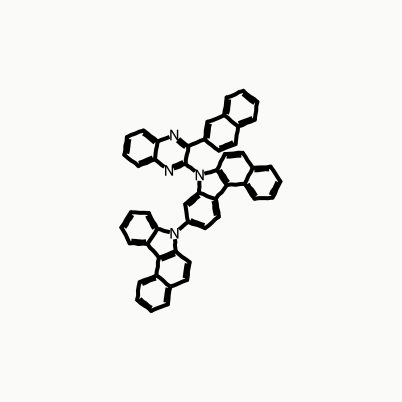 c1ccc2cc(-c3nc4ccccc4nc3-n3c4cc(-n5c6ccccc6c6c7ccccc7ccc65)ccc4c4c5ccccc5ccc43)ccc2c1